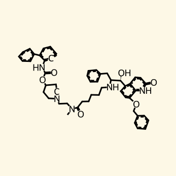 CN(CCN1CCC(OC(=O)Nc2ccccc2-c2ccccc2)CC1)C(=O)CCCCCNC(Cc1ccccc1)[C@H](O)c1ccc(OCc2ccccc2)c2[nH]c(=O)ccc12